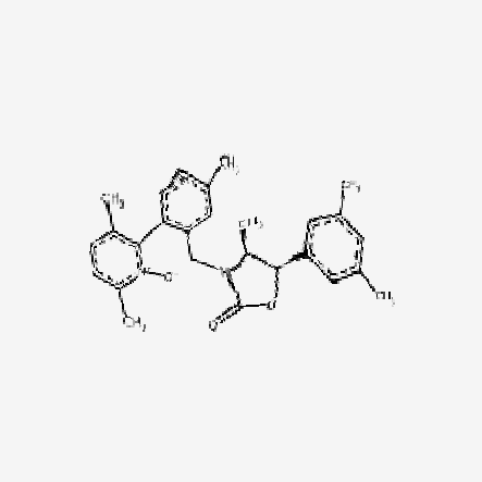 Cc1cc([C@H]2OC(=O)N(Cc3cc(C)ccc3-c3c(C)ccc(C)[n+]3[O-])[C@H]2C)cc(C(F)(F)F)c1